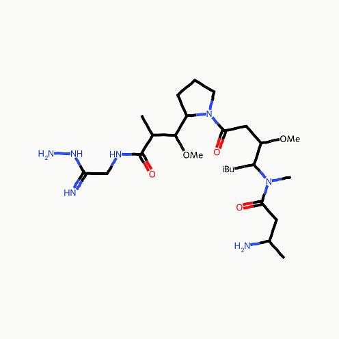 CCC(C)C(C(CC(=O)N1CCCC1C(OC)C(C)C(=O)NCC(=N)NN)OC)N(C)C(=O)CC(C)N